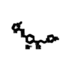 CCN(CCn1cc[n+](C)c1)c1ccc(/N=N/c2nccn2C)cc1.[Br-]